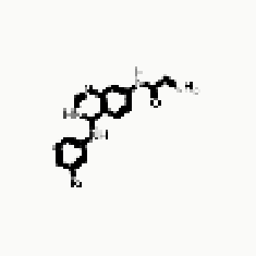 C=CC(=O)Nc1ccc2c(c1)N=CNC2Nc1cccc(Br)c1